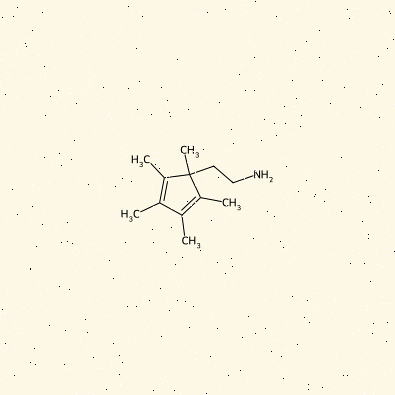 CC1=C(C)C(C)(CCN)C(C)=C1C